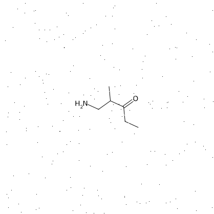 CCC(=O)C(C)CN